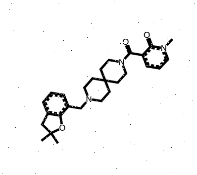 Cn1cccc(C(=O)N2CCC3(CCN(Cc4cccc5c4OC(C)(C)C5)CC3)CC2)c1=O